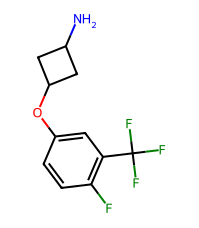 NC1CC(Oc2ccc(F)c(C(F)(F)F)c2)C1